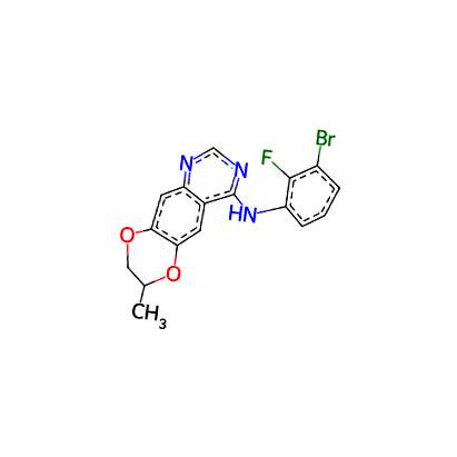 CC1COc2cc3ncnc(Nc4cccc(Br)c4F)c3cc2O1